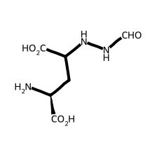 N[C@@H](CC(NNC=O)C(=O)O)C(=O)O